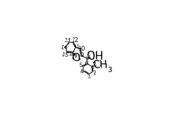 Cc1ccccc1C(O)c1cc2ccccc2o1